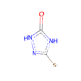 O=c1[nH]nc([S])[nH]1